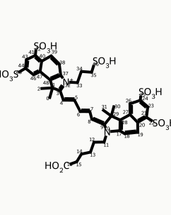 CC1(C)C(/C=C/C=C/C=C2/N(CCCCCC(=O)O)c3ccc4c(S(=O)(=O)O)cc(S(=O)(=O)O)cc4c3C2(C)C)=[N+](CCCS(=O)(=O)O)c2ccc3c(S(=O)(=O)O)cc(S(=O)(=O)O)cc3c21